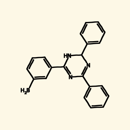 Bc1cccc(C2=NC(c3ccccc3)=NC(c3ccccc3)N2)c1